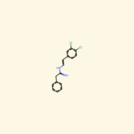 N=C(Cc1ccccc1)NC=Cc1ccc(Cl)c(Cl)c1